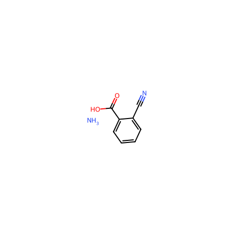 N.N#Cc1ccccc1C(=O)O